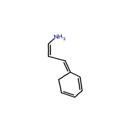 N/C=C\C=C1\C=CC=CC1